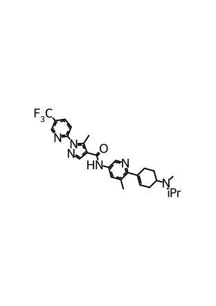 Cc1cc(NC(=O)c2cnn(-c3ccc(C(F)(F)F)cn3)c2C)cnc1C1=CCC(N(C)C(C)C)CC1